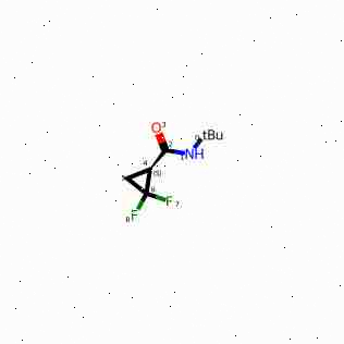 CC(C)(C)NC(=O)[C@@H]1CC1(F)F